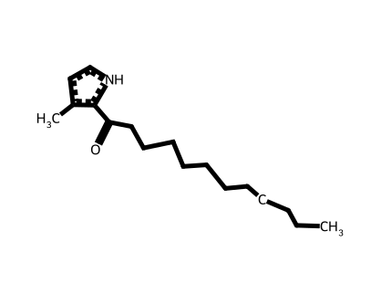 CCCCCCCCCCCC(=O)c1[nH]ccc1C